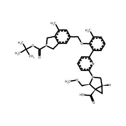 COC[C@H]1N(c2cccc(-c3cccc(C)c3OCc3cc(C)c4c(c3)CN(C(=O)OC(C)(C)C)C4)n2)C[C@@H]2C[C@@]21C(=O)O